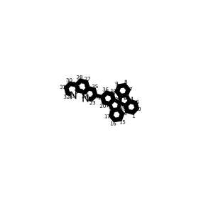 c1ccc2c(c1)-c1ccccc1C21c2ccccc2-c2cc(-c3cnc4c(ccc5cccnc54)c3)ccc21